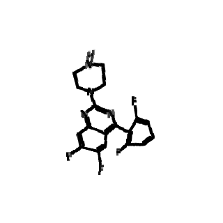 Fc1cc2nc(N3CCNCC3)nc(-c3c(F)cccc3F)c2cc1F